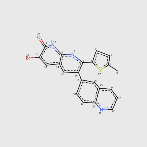 Cc1ccc(-c2nc3[nH]c(=O)c(Br)cc3cc2-c2ccc3ncccc3c2)s1